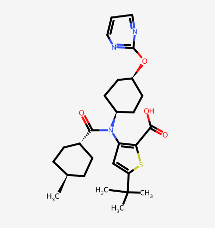 CC(C)(C)c1cc(N(C(=O)[C@H]2CC[C@H](C)CC2)[C@H]2CC[C@@H](Oc3ncccn3)CC2)c(C(=O)O)s1